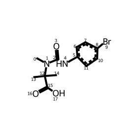 CN(C(=O)Nc1ccc(Br)cc1)C(C)(C)C(=O)O